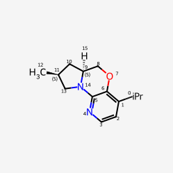 CC(C)c1ccnc2c1OC[C@@H]1C[C@H](C)CN21